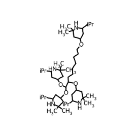 CC(C)C1CC(OCCCCCCCC(OC2CC(C(C)C)NC(C)(C)C2)C(OC2CC(C(C)C)NC(C)(C)C2)OC2CC(C(C)C)NC(C)(C)C2)CC(C)(C)N1